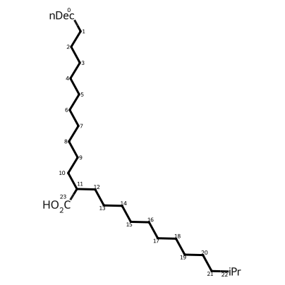 CCCCCCCCCCCCCCCCCCCCC(CCCCCCCCCCC(C)C)C(=O)O